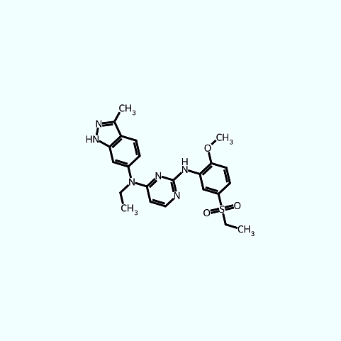 CCN(c1ccc2c(C)n[nH]c2c1)c1ccnc(Nc2cc(S(=O)(=O)CC)ccc2OC)n1